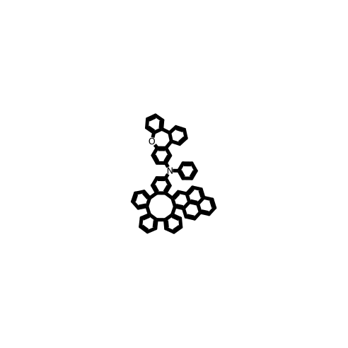 C1=CC2c3ccccc3Oc3ccc(N(c4ccccc4)c4ccc5c6ccccc6c6ccccc6c6ccccc6c6c(cc7ccc8cccc9ccc6c7c89)c5c4)cc3C2C=C1